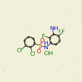 Cl.Nc1c(F)ccc(NS(=O)(=O)c2cccc(Cl)c2Cl)c1F